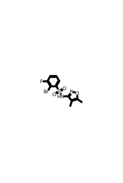 Cc1onc(NS(=O)(=O)c2cccc(F)c2Br)c1C